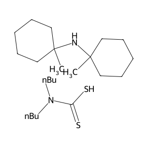 CC1(NC2(C)CCCCC2)CCCCC1.CCCCN(CCCC)C(=S)S